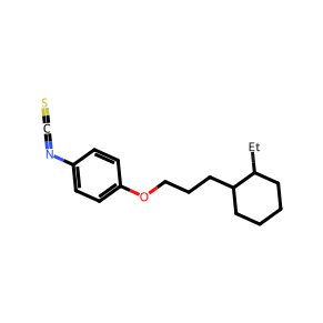 CCC1CCCCC1CCCOc1ccc(N=C=S)cc1